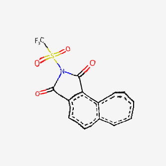 O=C1c2ccc3ccccc3c2C(=O)N1S(=O)(=O)C(F)(F)F